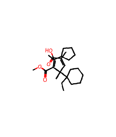 CCC1(C(C)(C=C(C)C(=O)O)C(C(=O)OC)=C(C)C2CCCC2)CCCCC1